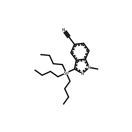 CCC[CH2][Sn]([CH2]CCC)([CH2]CCC)[c]1nn(C)c2ccc(C#N)cc12